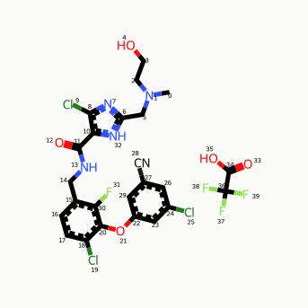 CN(CCO)Cc1nc(Cl)c(C(=O)NCc2ccc(Cl)c(Oc3cc(Cl)cc(C#N)c3)c2F)[nH]1.O=C(O)C(F)(F)F